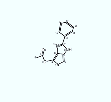 CC(=O)Oc1scc2[nH]c(-c3ccccc3)nc12